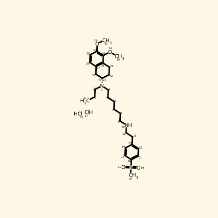 CCCN(CCCCCCNCCc1ccc(S(C)(=O)=O)cc1)[C@H]1CCc2c(ccc(OC)c2OC)C1.Cl.Cl